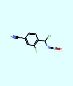 N#Cc1ccc(C(Cl)N=C=O)c(F)c1